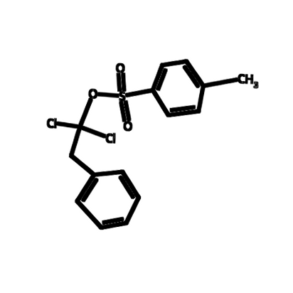 Cc1ccc(S(=O)(=O)OC(Cl)(Cl)Cc2ccccc2)cc1